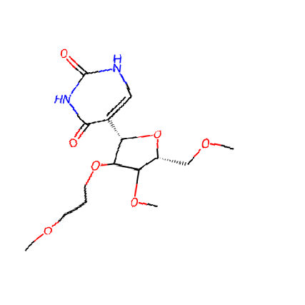 COCCOC1C(OC)[C@@H](COC)O[C@H]1c1c[nH]c(=O)[nH]c1=O